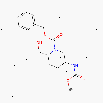 CC(C)(C)OC(=O)NC1CCC(CO)N(C(=O)OCc2ccccc2)C1